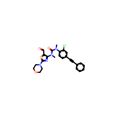 CN(C(=O)N(C)c1nc(N2CCOCC2)sc1C=O)c1ccc(C#Cc2ccccc2)cc1Cl